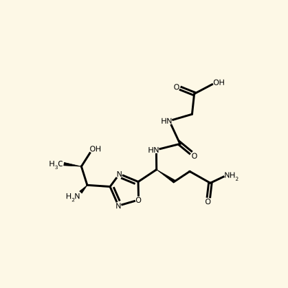 C[C@@H](O)[C@H](N)c1noc([C@H](CCC(N)=O)NC(=O)NCC(=O)O)n1